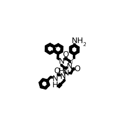 C#CCN(C(=O)NCc1ccccc1)N1CC(=O)N2[C@@H](Cc3ccc(N)cc3)C(=O)N(Cc3cccc4ccccc34)C[C@@H]21